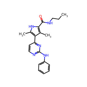 CCCNC(=O)c1[nH]c(C)c(-c2ccnc(Nc3ccccc3)n2)c1C